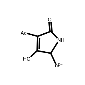 CCCC1NC(=O)C(C(C)=O)=C1O